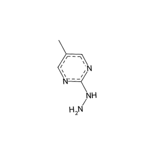 Cc1cnc(NN)nc1